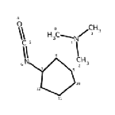 CN(C)C.O=C=NC1CCCCC1